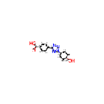 O=C(O)c1ccc(-c2nnn(-c3ccc(O)cc3)n2)cc1